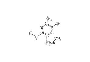 CCOc1cc(C)c(O)cc1C(C)C.CNC